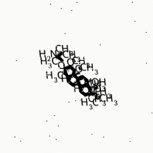 COC[C@]12C[C@@H](OC)[C@H](OC[C@](C)(N)C(C)C)[C@@H](C)[C@@H]1CC[C@H]1C2=CC[C@@]2(C)[C@H](C(=O)O)[C@@](C)([C@H](C)C(C)C)CC[C@]12C